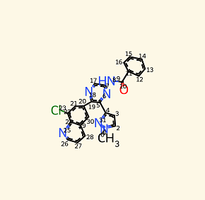 Cn1ccc(-c2nc(NC(=O)c3ccccc3)cnc2-c2cc(Cl)c3ncccc3c2)n1